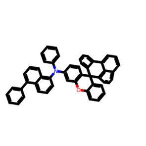 c1ccc(-c2cccc3c(N(c4ccccc4)c4ccc5c(c4)Oc4ccccc4C54c5ccccc5-c5cccc6cccc4c56)cccc23)cc1